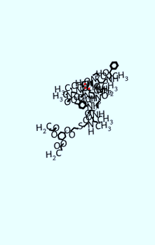 C=CC(=O)O[C@@H]1C[C@H](OC(=O)C=C)C[C@H](OC(=O)CCSCC(=O)N[C@H](C(=O)N[C@@H](CCCNC(N)=O)C(=O)Nc2ccc(COC(=O)N(C)[C@H](C(=O)NC(C(=O)N(C)[C@@H]([C@H](C)CC)[C@@H](CC(=O)N3CCC[C@H]3[C@H](OC)[C@@H](C)C(=O)N[C@H](C)[C@@H](O)c3ccccc3)OC)C(C)C)C(C)C)cc2)C(C)C)C1